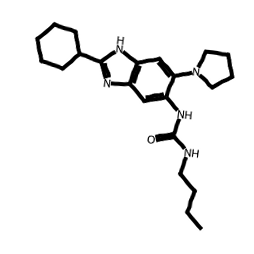 CCCCNC(=O)Nc1cc2nc(C3CCCCC3)[nH]c2cc1N1CCCC1